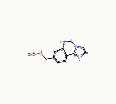 O=COCc1ccc2c(c1)NCn1ccnc1-2